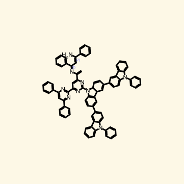 C=C(/N=C(\C=C(/N)c1ccccc1)c1ccccc1)c1cc(-c2nc(-c3ccccc3)cc(-c3ccccc3)n2)nc(N2c3ccc(-c4ccc5c(c4)c4ccccc4n5-c4ccccc4)cc3C3C=C(c4ccc5c(c4)c4ccccc4n5-c4ccccc4)C=CC32)n1